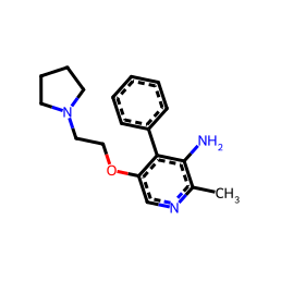 Cc1ncc(OCCN2CCCC2)c(-c2ccccc2)c1N